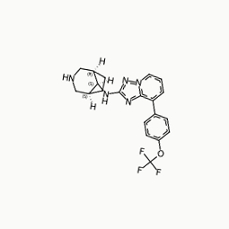 FC(F)(F)Oc1ccc(-c2cccn3nc(N[C@@H]4[C@@H]5CC[C@H]4CNC5)nc23)cc1